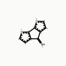 B=C1c2ccoc2-c2occc21